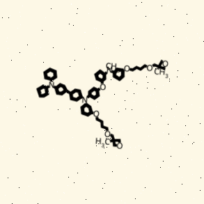 CN(c1cccc(OCCCCOCC2(C)COC2)c1)c1cccc(Oc2ccc(N(c3ccc(-c4ccc(N(c5ccccc5)c5ccccc5)cc4)cc3)c3cccc(OCCCCOCC4(C)COC4)c3)cc2)c1